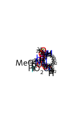 COc1cc(F)cc2c(O[C@@H]3C[C@H]4C(=O)N[C@]5(C(=O)NS(=O)(=O)C6CC6)C[C@H]5/C=C\CC[C@H](C)C[C@@H](C)[C@H](N(C(=O)O)[C@H]5CC6C[C@H]6C5)C(=O)N4C3)nccc12